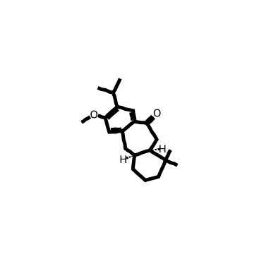 COc1cc2c(cc1C(C)C)C(=O)C[C@@H]1[C@@H](CCCC1(C)C)C2